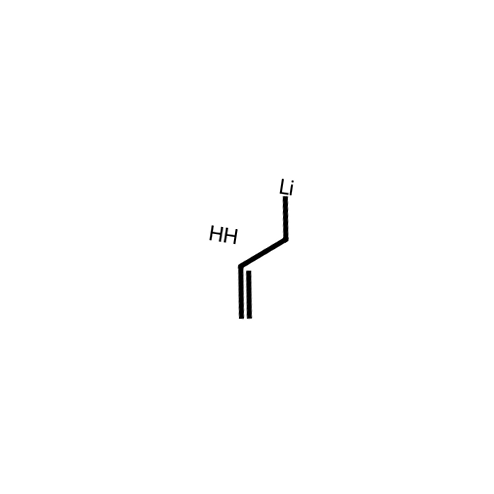 [HH].[Li][CH2]C=C